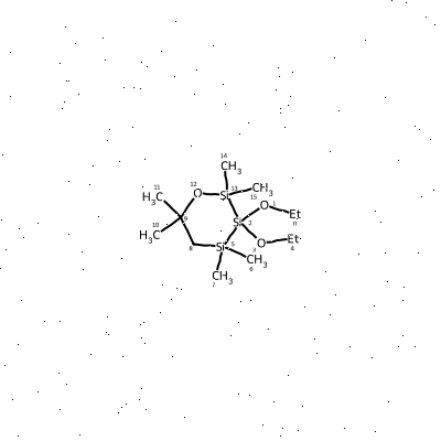 CCO[Si]1(OCC)[Si](C)(C)CC(C)(C)O[Si]1(C)C